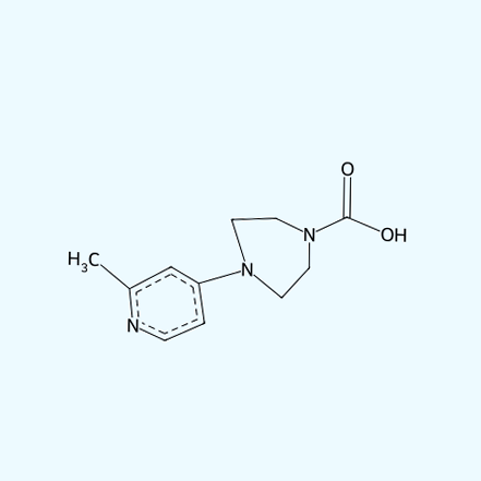 Cc1cc(N2CCN(C(=O)O)CC2)ccn1